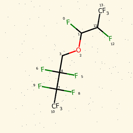 FC(OCC(F)(F)C(F)(F)C(F)(F)F)C(F)C(F)(F)F